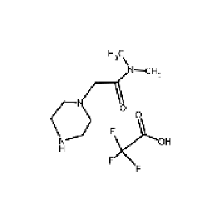 CN(C)C(=O)CN1CCNCC1.O=C(O)C(F)(F)F